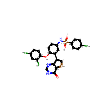 O=c1[nH]cnc2c(-c3cc(NS(=O)(=O)c4ccc(F)cc4)ccc3Oc3ccc(F)cc3F)csc12